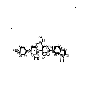 CC[C@@H](C)[C@@H](NC(=O)c1ccc2cc[nH]c2c1)C(=O)N1CCN(C2CCN(C)CC2)CC1.Cl